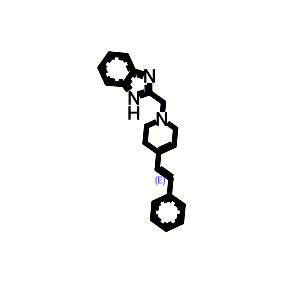 C1=C(/C=C/c2ccccc2)CCN(Cc2nc3ccccc3[nH]2)C1